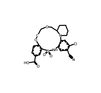 N#Cc1cc2c(cc1Cl)N1CCCCC1COCCOc1ccc(C(=O)O)cc1S(=O)(=O)N2